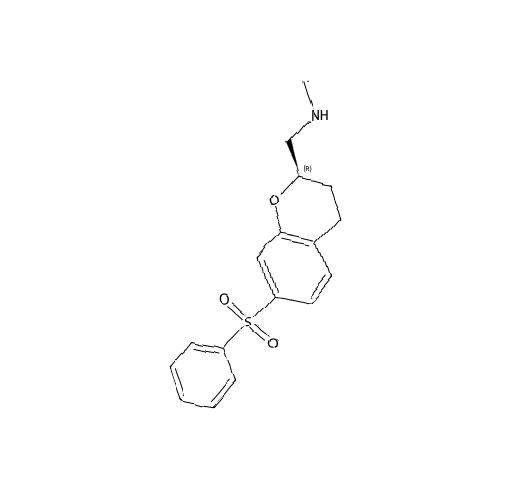 [CH2]NC[C@H]1CCc2ccc(S(=O)(=O)c3ccccc3)cc2O1